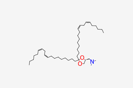 CCCCC/C=C\C/C=C\CCCCCCCCC1(CCCCCCCC/C=C\C/C=C\CCCCC)OC[C@H](CN(C)C)O1